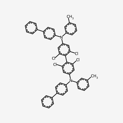 Cc1cccc(N(c2ccc(-c3ccccc3)cc2)c2cc(Cl)c(-c3c(Cl)cc(N(c4ccc(-c5ccccc5)cc4)c4cccc(C)c4)cc3Cl)c(Cl)c2)c1